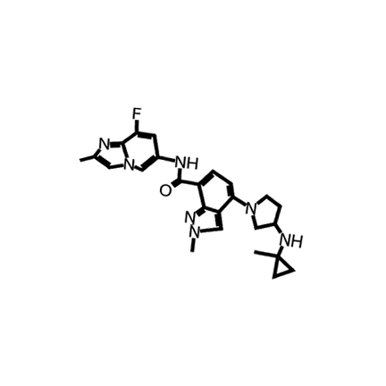 Cc1cn2cc(NC(=O)c3ccc(N4CCC(NC5(C)CC5)C4)c4cn(C)nc34)cc(F)c2n1